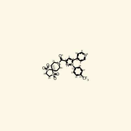 O=C(c1cc(-c2ccncc2)n(-c2ccc(C(F)(F)F)cc2)n1)N1CCC2(CC1)S(=O)(=O)CCS2(=O)=O